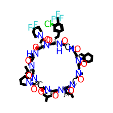 CC[C@H](C)[C@@H]1NC(=O)[C@H](CC(C)C)N(C)C(=O)C[C@@H](C(=O)N2CCCCC2)N(C)C(=O)[C@H](C(C)C)N(C)C(=O)C(C)(C)NC(=O)[C@H](CC(=O)N2CCC(F)(F)CC2)N(C)C(=O)[C@H](CCc2ccc(C(F)(F)F)c(Cl)c2)NC(=O)CN(C)C(=O)[C@H](CC2CCCCC2)N(C)C(=O)CN(C)C(=O)CN(C)C1=O